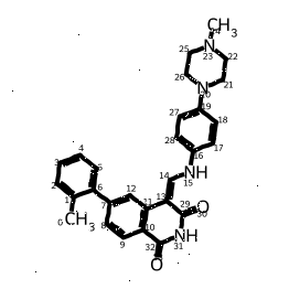 Cc1ccccc1-c1ccc2c(c1)C(=CNc1ccc(N3CCN(C)CC3)cc1)C(=O)NC2=O